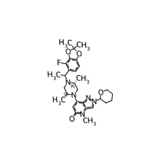 CC(c1ccc2c(c1F)OC(C)(C)O2)N1C[C@H](C)N(c2cc(=O)n(C)c3cn(C4CCCCO4)nc23)C[C@H]1C